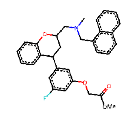 COC(=O)COc1cc(F)cc(C2CC(CN(C)Cc3cccc4ccccc34)Oc3ccccc32)c1